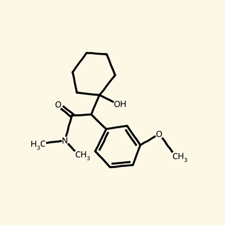 COc1cccc(C(C(=O)N(C)C)C2(O)CCCCC2)c1